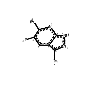 CC(C)c1nc2[nH]nc(C(C)C)c2cc1F